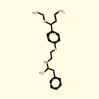 CCCC(OCC)c1ccc(OCCNC(C)Cc2ccccc2)cc1